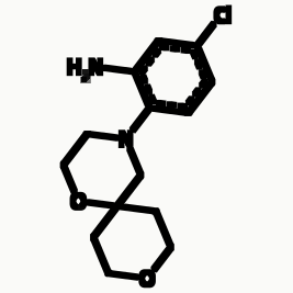 Nc1cc(Cl)ccc1N1CCOC2(CCOCC2)C1